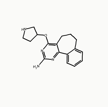 Nc1nc(OC2CCNC2)c2c(n1)-c1ccccc1CCC2